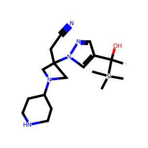 [CH2]C(O)(c1cnn(C2(CC#N)CN(C3CCNCC3)C2)c1)[Si](C)(C)C